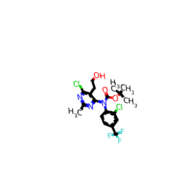 Cc1nc(Cl)c(CCO)c(N(C(=O)OC(C)(C)C)c2ccc(C(F)(F)F)cc2Cl)n1